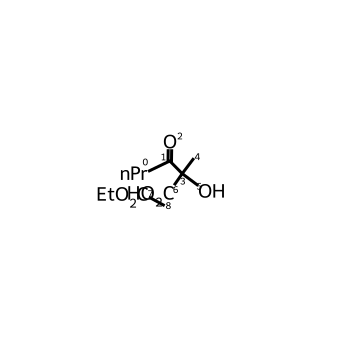 CCCC(=O)C(C)(O)C(=O)O.CCOC(C)=O